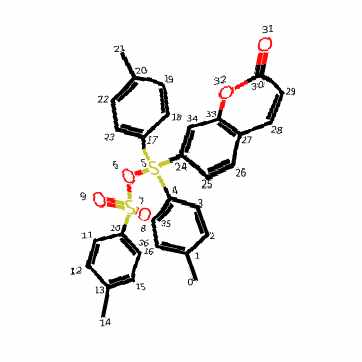 Cc1ccc(S(OS(=O)(=O)c2ccc(C)cc2)(c2ccc(C)cc2)c2ccc3ccc(=O)oc3c2)cc1